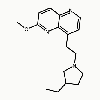 CCC1CCN(CCc2ccnc3ccc(OC)nc23)C1